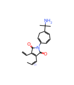 C=CC1=C(/C=C\C)C(=O)N(C2=CCC(C(C)(C)N)=CC=C2)C1=O